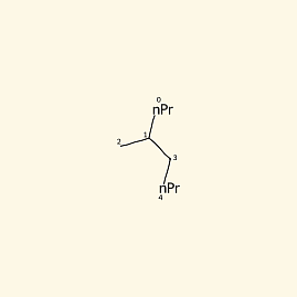 [CH2]CCC(C)CCCC